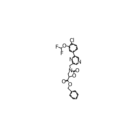 O=C(OCc1ccccc1)C1CN(Cc2cncc(-c3ccc(Cl)c(OC(F)F)c3)n2)C(=O)O1